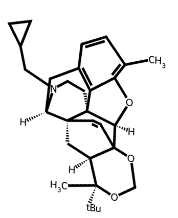 Cc1ccc2c3c1O[C@H]1C45C=C[C@@]6(C[C@@H]4[C@@](C)(C(C)(C)C)OCO5)[C@@H](C2)N(CC2CC2)CC[C@]316